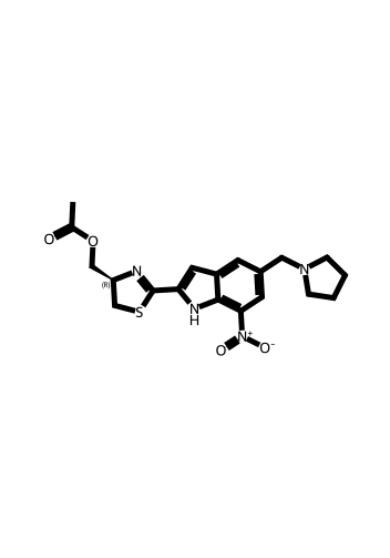 CC(=O)OC[C@@H]1CSC(c2cc3cc(CN4CCCC4)cc([N+](=O)[O-])c3[nH]2)=N1